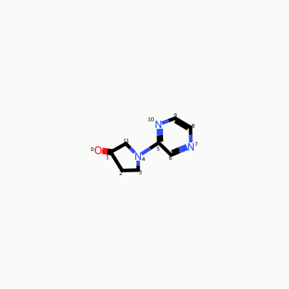 O=C1CCN(c2cnccn2)C1